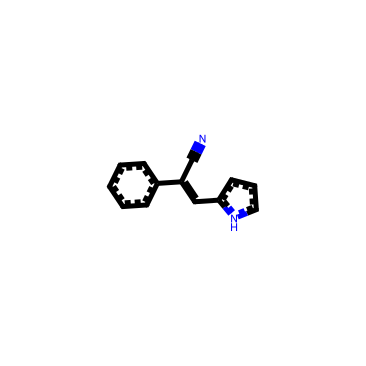 N#CC(=Cc1ccc[nH]1)c1ccccc1